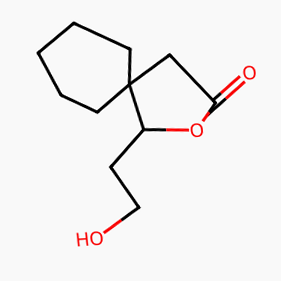 O=C1CC2(CCCCC2)C(CCO)O1